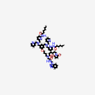 CCCCCC(=O)Nc1cccc(CN(Cc2cc(CN(Cc3ccccn3)Cc3cccc(NC(=O)CCCCC)n3)cc(OCCCCN(CC(=O)NCn3nnc4ccccc43)C(=O)CCCCCN3C(=O)C=CC3=O)c2)Cc2ccccn2)n1